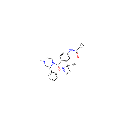 CC(C)C1(c2cc(NC(=O)C3CC3)ccc2C(=O)N2CCN(C)C[C@@H]2c2ccccc2)C=CN=N1